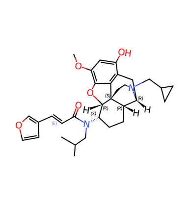 COc1cc(O)c2c3c1O[C@H]1[C@@H](N(CC(C)C)C(=O)/C=C/c4ccoc4)CC[C@H]4[C@@H](C2)N(CC2CC2)CC[C@@]341